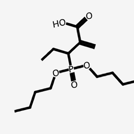 C=C(C(=O)O)C(CC)P(=O)(OCCCC)OCCCC